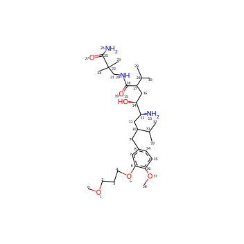 COCCCOc1cc(CC(C[C@H](N)[C@@H](O)CC(C(=O)NCC(C)(C)C(N)=O)C(C)C)C(C)C)ccc1OC